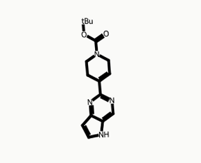 CC(C)(C)OC(=O)N1CC=C(c2ncc3[nH]ccc3n2)CC1